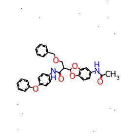 CC(=O)Nc1ccc2c(c1)OC(C(COCc1ccccc1)C(=O)Nc1ccc(Oc3ccccc3)cc1)O2